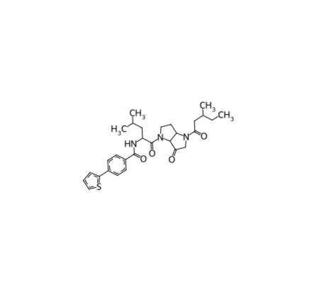 CCC(C)CC(=O)N1CC(=O)C2C1CCN2C(=O)C(CC(C)C)NC(=O)c1ccc(-c2cccs2)cc1